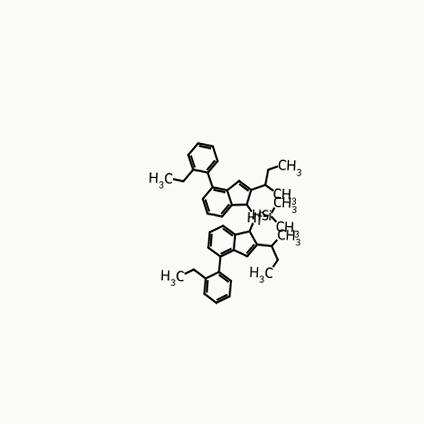 CCc1ccccc1-c1cccc2c1C=C(C(C)CC)[CH]2[Hf]([CH]1C(C(C)CC)=Cc2c(-c3ccccc3CC)cccc21)[SiH](C)C